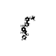 CN1CCN(C(=O)c2cc3cc(Nc4nccc(-c5cc(OCC(C)(C)C)ccn5)n4)ccc3[nH]2)CC1